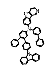 c1ccc(-c2cccc(N(c3ccc(-c4ccccc4)c(-c4ccc(-n5c6ccccc6c6ccccc65)cc4)c3)c3ccc4oc5ccncc5c4c3)c2)cc1